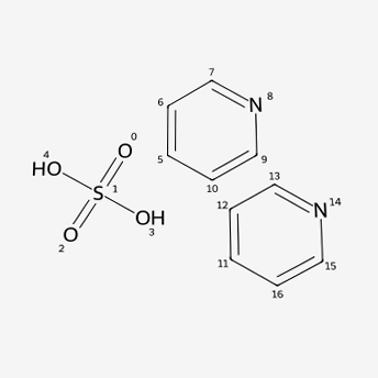 O=S(=O)(O)O.c1ccncc1.c1ccncc1